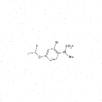 CC(C)(C)N(C(=O)O)c1ccc(OC(F)F)cc1Br